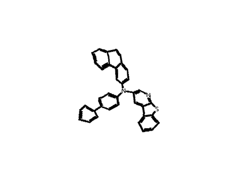 c1ccc(-c2ccc(N(c3ccc4ccc5ccccc5c4c3)c3cnc4sc5ccccc5c4c3)cc2)cc1